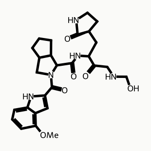 COc1cccc2[nH]c(C(=O)N3CC4CCCC4C3C(=O)NC(CC3CCNC3=O)C(=O)CNCO)cc12